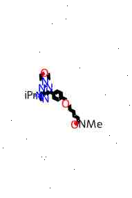 CNC(=O)CCCCCOCc1ccc(-c2nc(N3CCOCC3)nc3c2ncn3C(C)C)cc1